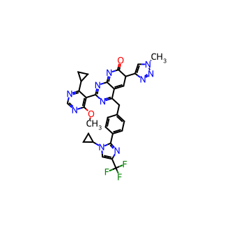 COc1ncnc(C2CC2)c1-c1nc(Cc2ccc(-c3nc(C(F)(F)F)cn3C3CC3)cc2)c2c(n1)=NC(=O)C(c1cn(C)nn1)C=2